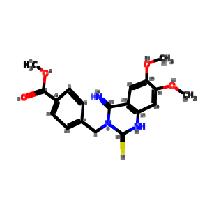 COC(=O)c1ccc(Cn2c(=S)[nH]c3cc(OC)c(OC)cc3c2=N)cc1